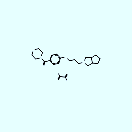 O=C(O)C(=O)O.O=C(c1ccc(OCCCN2CC3CCCC3C2)cc1)N1CCSCC1